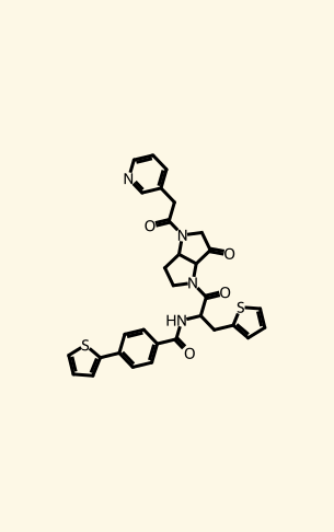 O=C(NC(Cc1cccs1)C(=O)N1CCC2C1C(=O)CN2C(=O)Cc1cccnc1)c1ccc(-c2cccs2)cc1